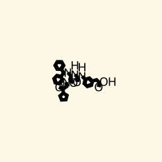 O=C(O)Cc1cccc(NC(=O)NC2N=C(c3ccccc3)c3ccccc3N(CC(=O)C3CCCC3)C2=O)c1